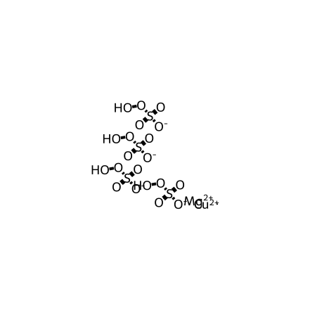 O=S(=O)([O-])OO.O=S(=O)([O-])OO.O=S(=O)([O-])OO.O=S(=O)([O-])OO.[Cu+2].[Mg+2]